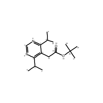 CC(C)c1ncnc(C(C)C)c1CC(=O)OC(C)(C)C